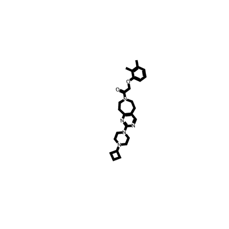 Cc1cccc(OCC(=O)N2CCc3cnc(N4CCN(C5CCC5)CC4)nc3CC2)c1C